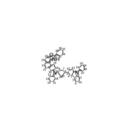 C1=CC2c3cc(-c4ccc(N(c5ccccc5)c5ccc6c(ccc7ccc8c(c76)NC(c6ccccc6)O8)c5)cc4)ccc3N(c3ccccc3)C2C=C1